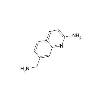 NCc1ccc2ccc(N)nc2c1